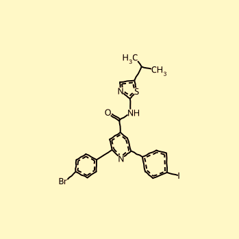 CC(C)c1cnc(NC(=O)c2cc(-c3ccc(Br)cc3)nc(-c3ccc(I)cc3)c2)s1